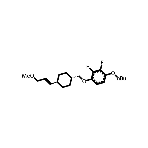 CCCCOc1ccc(OC[C@H]2CC[C@H](C=CCOC)CC2)c(F)c1F